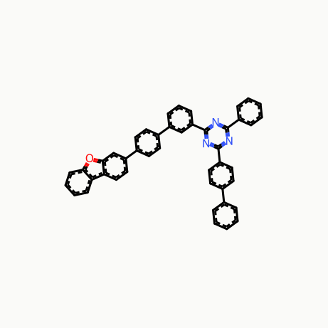 c1ccc(-c2ccc(-c3nc(-c4ccccc4)nc(-c4cccc(-c5ccc(-c6ccc7c(c6)oc6ccccc67)cc5)c4)n3)cc2)cc1